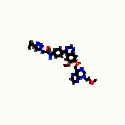 COCCN1CN=C(COc2cc3ncnc(-c4ccc(NC(=O)Cn5cc(C(C)C)nn5)cc4)c3cc2OC)c2nccnc21